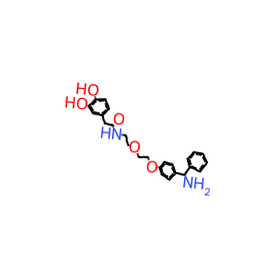 NC(c1ccccc1)c1ccc(OCCOCCNC(=O)Cc2ccc(O)c(O)c2)cc1